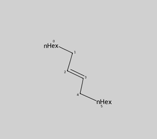 CCCCCCCC=CCCCCCCC